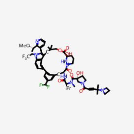 CO[C@@H](C)c1ncccc1-c1c2c3cc(ccc3n1CC(F)(F)F)-c1cc(cc(C(F)F)c1)C[C@H](NC(=O)[C@H](C(C)C)N(C)C(=O)[C@@]1(O)CCN(C(=O)C#CC(C)(C)N3CCC3)C1)C(=O)N1CCC[C@@](O)(N1)C(=O)OCC(C)(C)C2